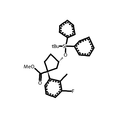 COC(=O)[C@]1(c2cccc(F)c2C)CC[C@H](O[Si](c2ccccc2)(c2ccccc2)C(C)(C)C)C1